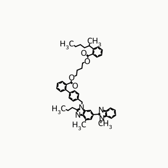 CCCCC(C)c1ccccc1C(=O)OCCCCOC(=O)c1ccccc1-c1ccc(Cn2c(CCC)nc3c(C)cc(-c4nc5ccccc5n4C)cc32)cc1